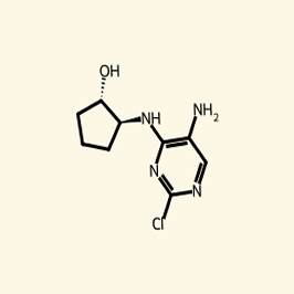 Nc1cnc(Cl)nc1N[C@H]1CCC[C@@H]1O